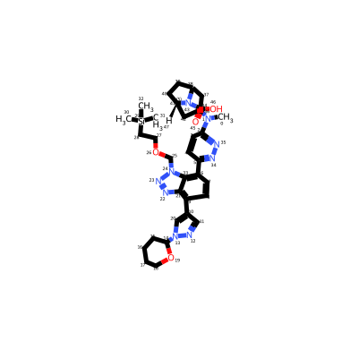 CN(c1ccc(-c2ccc(-c3cnn(C4CCCCO4)c3)c3nnn(COCC[Si](C)(C)C)c23)nn1)C1CC2CC[C@@H](C1)N2C(=O)O